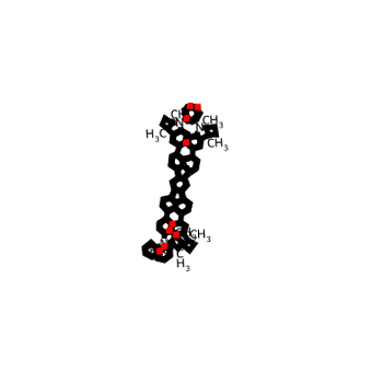 CC12CCC1(C)N(c1ccccc1)c1ccc(-c3ccc4c5cc6c(cc5c5ccc(-c7ccc8c(c7)C7(C)CCC7(C)N8c7ccccc7)c3c45)c3ccc(-c4ccc5c(c4)C4(C)CCC4(C)N5c4ccccc4)c4c(-c5ccc7c(c5)C5(C)CCC5(C)N7c5ccccc5)ccc6c43)cc12